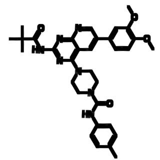 COc1ccc(-c2cnc3nc(NC(=O)C(C)(C)C)nc(N4CCN(C(=O)Nc5ccc(C)cc5)CC4)c3c2)cc1OC